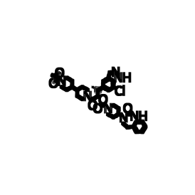 C[C@H](c1cc(Cl)c2[nH]ncc2c1)C(OC(=O)N1CCC(N2CCc3ccccc3NC2=O)CC1)C(=O)N1CCC(C2CCN(S(C)(=O)=O)CC2)CC1